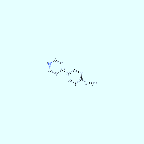 CCOC(=O)c1ccc(-c2ccncc2)cc1